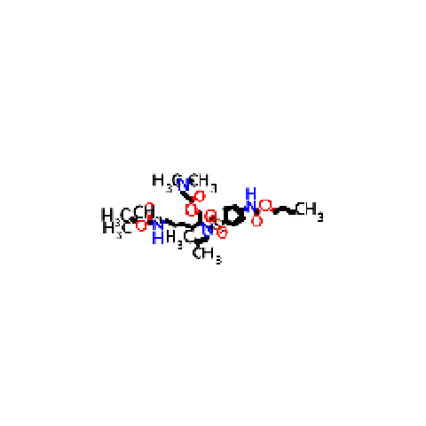 CCCCOC(=O)Nc1ccc(S(=O)(=O)N(CC(C)C)C(CCCCNC(=O)OC(C)(C)C)COC(=O)CN(C)C)cc1